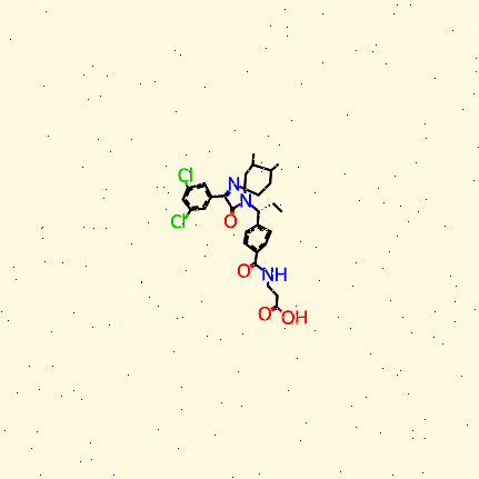 CC[C@H](c1ccc(C(=O)NCCC(=O)O)cc1)N1C(=O)C(c2cc(Cl)cc(Cl)c2)=NC12CCC(C)C(C)C2